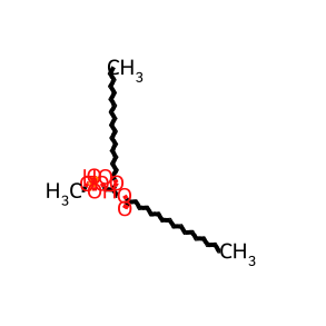 CCCCCCCCCCCCCCCCCC(=O)OCC(COP(=O)(O)OCC)OC(O)CCCCCCCCCCCCCCCCC